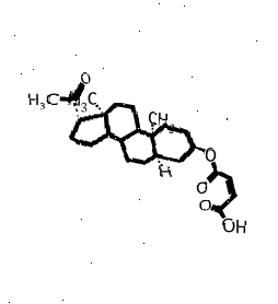 CC(=O)[C@H]1CCC2C3CC[C@@H]4C[C@H](OC(=O)/C=C\C(=O)O)CC[C@]4(C)C3CC[C@@]21C